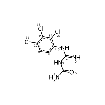 N=C(NC(N)=O)Nc1ccc(Cl)c(Cl)c1Cl